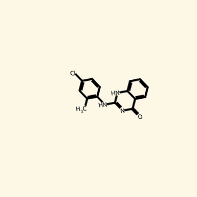 Cc1cc(Cl)ccc1Nc1nc(=O)c2ccccc2[nH]1